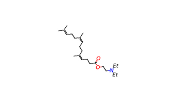 CCN(CC)CCOC(=O)CCC=C(C)CCC=C(C)CCC=C(C)C